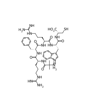 CC(C)(N)C(=O)N[C@@H](CCCNC(=N)N)C(=O)N[C@H](Cc1ccccc1)C(=O)N[C@@H](CCCNC(=N)N)C(=O)N[C@@H](Cc1c[nH]c2ccccc12)C(=O)N[C@@H](CS)C(=O)O